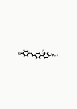 CCCCCc1ccc(-c2ccc(C=Cc3ccc(CC)cc3)cc2)c(F)c1